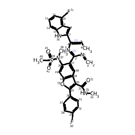 C=N/C(=N\C(=C/C)c1cc2c(F)cccc2[nH]1)c1cc2c(C(=O)NC)c(-c3ccc(F)cc3)oc2cc1N(C)S(C)(=O)=O